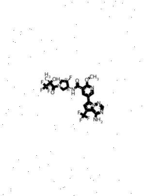 COc1ncc(-c2cc(C(F)(F)F)c3c(N)ncnn23)cc1C(=O)N[C@@H]1CN(C(=O)[C@@](C)(O)C(F)(F)F)C[C@@H]1F